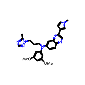 COc1cc(OC)cc(N(CCCn2ncnc2C)c2ccc3ncc(-c4ccn(C)c4)nc3c2)c1